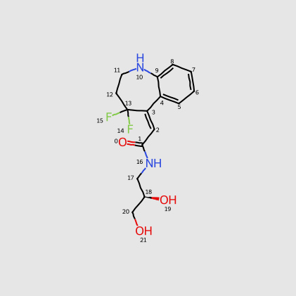 O=C(C=C1c2ccccc2NCCC1(F)F)NC[C@@H](O)CO